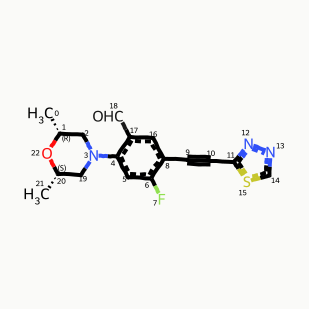 C[C@@H]1CN(c2cc(F)c(C#Cc3nncs3)cc2C=O)C[C@H](C)O1